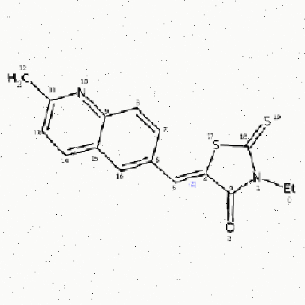 CCN1C(=O)/C(=C/c2ccc3nc(C)ccc3c2)SC1=S